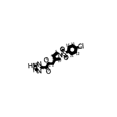 O=C(Cc1ccn(S(=O)(=O)c2ccc(Cl)cc2)c1)C(=O)c1nn[nH]n1